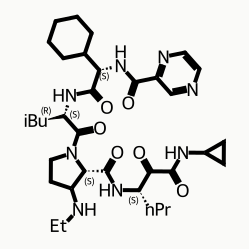 CCC[C@H](NC(=O)[C@@H]1C(NCC)CCN1C(=O)[C@@H](NC(=O)[C@@H](NC(=O)c1cnccn1)C1CCCCC1)[C@H](C)CC)C(=O)C(=O)NC1CC1